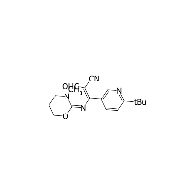 CN1CCCO/C1=N/C(=C(/C#N)C=O)c1ccc(C(C)(C)C)nc1